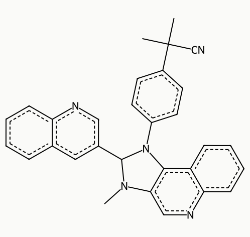 CN1c2cnc3ccccc3c2N(c2ccc(C(C)(C)C#N)cc2)C1c1cnc2ccccc2c1